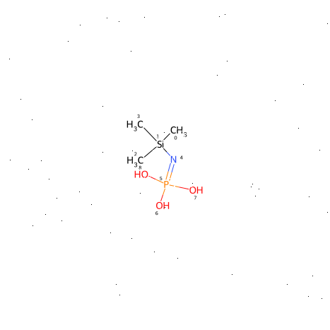 C[Si](C)(C)N=P(O)(O)O